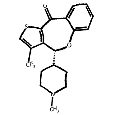 CN1CCC([C@H]2Oc3ccccc3C(=O)c3scc(C(F)(F)F)c32)CC1